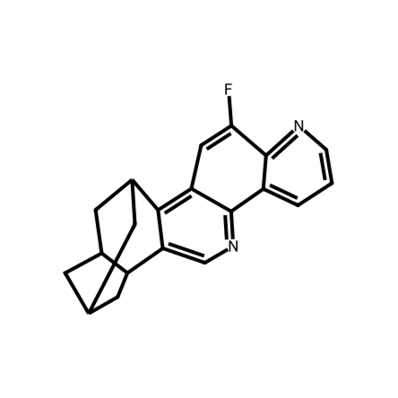 Fc1cc2c3c(cnc2c2cccnc12)C1CC2CC3CC1C2